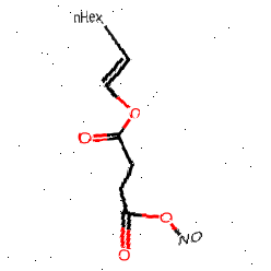 CCCCCCC=COC(=O)CCC(=O)ON=O